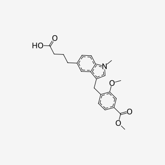 COC(=O)c1ccc(Cc2cn(C)c3ccc(CCCC(=O)O)cc23)c(OC)c1